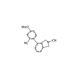 COc1ccc(-c2cccc3c2CN(C#N)C3)c(C#N)c1